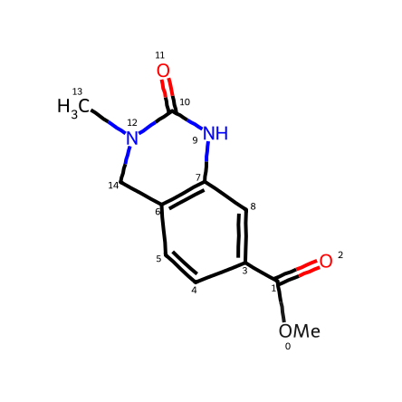 COC(=O)c1ccc2c(c1)NC(=O)N(C)C2